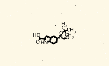 CC(C)(C)ON(C=O)c1ccc2[nH]c(C(=O)O)cc2c1